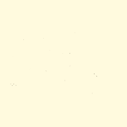 COc1cccc2c1CCC(=CN(C)C)C2=O